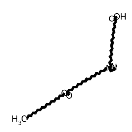 CCCCCCCCC=CCCCCCCCCOC(=O)CCCCCCCC=CCCCCCCCCN1CCN=C1CCCCCCCC=CCCCCCCCC(=O)O